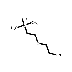 C[N+](C)(C)CCOCCC#N